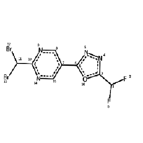 FC(F)c1nnc(-c2cnc(C(Br)Br)nc2)o1